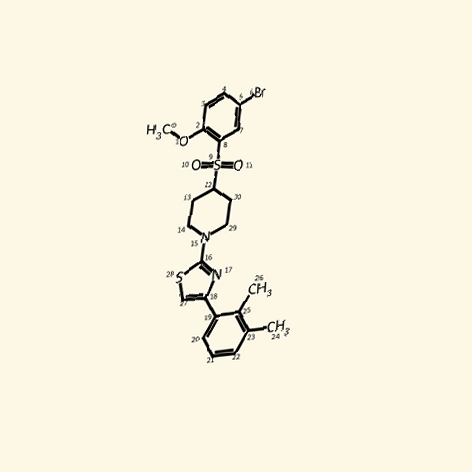 COc1ccc(Br)cc1S(=O)(=O)C1CCN(c2nc(-c3cccc(C)c3C)cs2)CC1